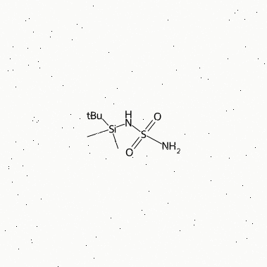 CC(C)(C)[Si](C)(C)NS(N)(=O)=O